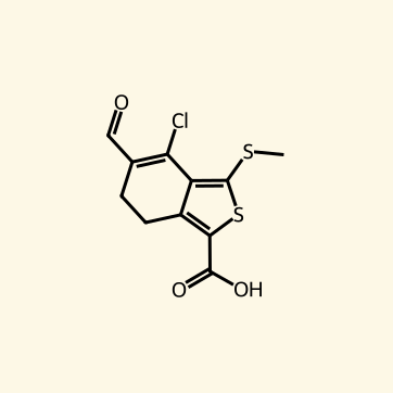 CSc1sc(C(=O)O)c2c1C(Cl)=C(C=O)CC2